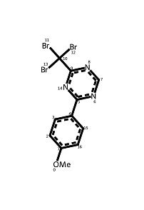 COc1ccc(-c2ncnc(C(Br)(Br)Br)n2)cc1